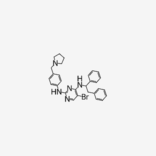 Brc1cnc(Nc2ccc(CN3CCCC3)cc2)nc1NC(Cc1ccccc1)c1ccccc1